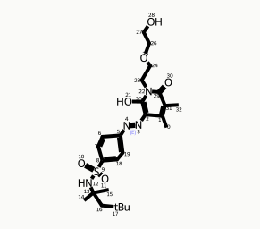 Cc1c(/N=N/c2ccc(S(=O)(=O)NC(C)(C)CC(C)(C)C)cc2)c(O)n(CCOCCO)c(=O)c1C